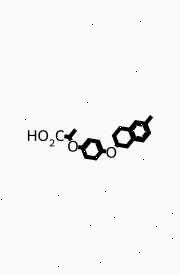 Cc1ccc2c(c1)CCC(OC1=CC=C(OC(C)C(=O)O)CC1)C2